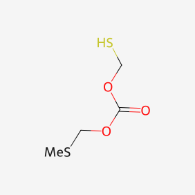 CSCOC(=O)OCS